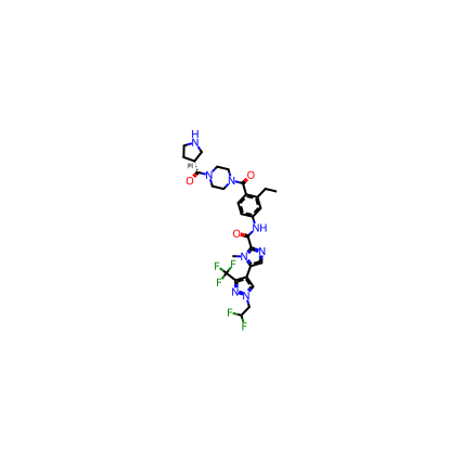 CCc1cc(NC(=O)c2ncc(-c3cn(CC(F)F)nc3C(F)(F)F)n2C)ccc1C(=O)N1CCN(C(=O)[C@@H]2CCNC2)CC1